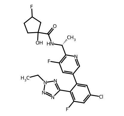 CCn1nnc(-c2c(F)cc(Cl)cc2-c2cnc([C@@H](C)NC(=O)C3(O)CCC(F)C3)c(F)c2)n1